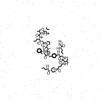 CCCNC(=O)[C@@H]1CCN(C(=O)CCC(=O)N[C@H](C(=O)N[C@@H](CCCNC(N)=O)C(=O)Nc2ccc(CNC(=O)[C@H](Cc3ccccc3)NC(=O)[C@H](C)[C@@H](OC)[C@@H]3CCCN3C(=O)C[C@@H](OC)[C@H]([C@@H](C)CC)N(C)C(=O)[C@@H](NC(=O)[C@H](C(C)C)N(C)C)C(C)C)cc2)C(C)C)[C@H](C)C1